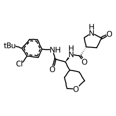 CC(C)(C)c1ccc(NC(=O)[C@@H](NC(=O)[C@@H]2CNC(=O)C2)C2CCOCC2)cc1Cl